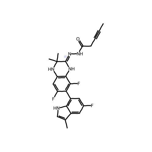 CC#CCC(=O)N/N=C1\Nc2c(cc(F)c(-c3cc(F)cc4c(C)c[nH]c34)c2F)NC1(C)C